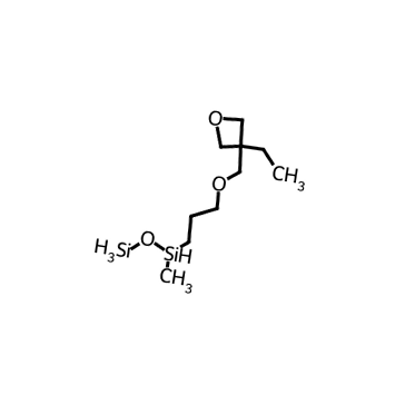 CCC1(COCCC[SiH](C)O[SiH3])COC1